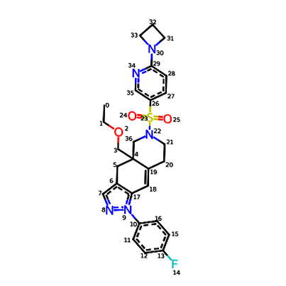 CCOCC12Cc3cnn(-c4ccc(F)cc4)c3C=C1CCN(S(=O)(=O)c1ccc(N3CCC3)nc1)C2